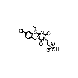 CCSc1nc(=O)n(CCS(=O)(=O)O)c(=O)n1Cc1ccc(Cl)cc1